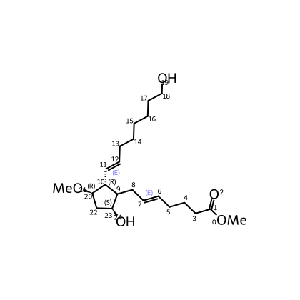 COC(=O)CCC/C=C/CC1[C@@H](/C=C/CCCCCCO)[C@H](OC)C[C@@H]1O